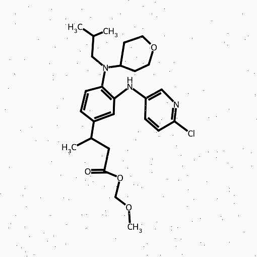 COCOC(=O)CC(C)c1ccc(N(CC(C)C)C2CCOCC2)c(Nc2ccc(Cl)nc2)c1